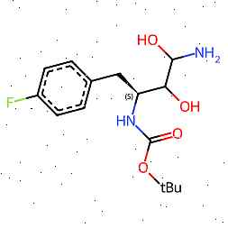 CC(C)(C)OC(=O)N[C@@H](Cc1ccc(F)cc1)C(O)C(N)O